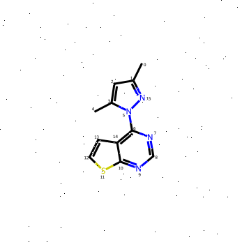 Cc1cc(C)n(-c2ncnc3sccc23)n1